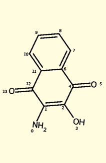 NC1=C(O)C(=O)c2ccccc2C1=O